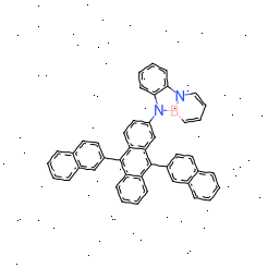 C1=CB2N(C=C1)c1ccccc1N2c1ccc2c(-c3ccc4ccccc4c3)c3ccccc3c(-c3ccc4ccccc4c3)c2c1